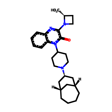 O=C(O)[C@@H]1CCN1c1nc2ccccc2n(C2CCN([C@@H]3C[C@@H]4CCCC[C@@H](C4)C3)CC2)c1=O